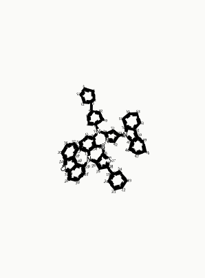 c1ccc(-c2ccc(N3c4cccc5c4B(c4sc(-c6ccccc6)cc4N5c4cccc5oc6ccccc6c45)n4cc(-n5c6ccccc6c6ccccc65)cc43)cc2)cc1